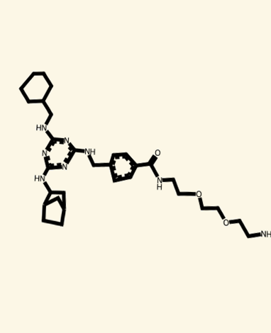 NCCOCCOCCNC(=O)c1ccc(CNc2nc(NCC3CCCCC3)nc(NC3CC4CCC3C4)n2)cc1